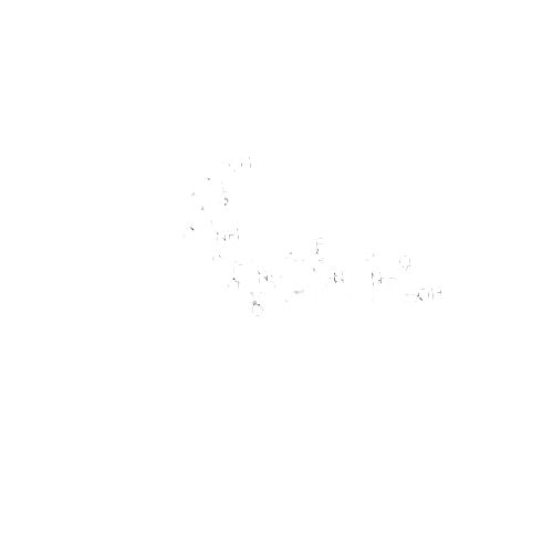 Cc1ccc(C(=O)NC[C@H]2CN(c3ccc(N4CCN(C(=O)CO)CC4)c(F)c3)C(=O)O2)s1